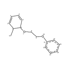 CC1C=CC=CC1OCCOc1ccccc1